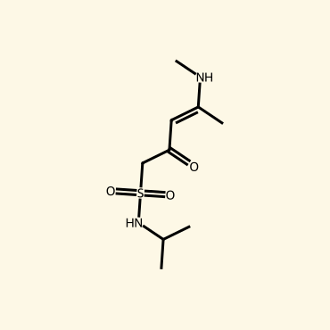 CNC(C)=CC(=O)CS(=O)(=O)NC(C)C